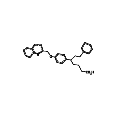 O=C(O)CCCC(CCc1ccccc1)c1ccc(OCc2ccc3ccccc3n2)cc1